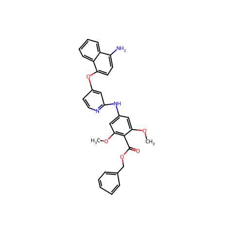 COc1cc(Nc2cc(Oc3ccc(N)c4ccccc34)ccn2)cc(OC)c1C(=O)OCc1ccccc1